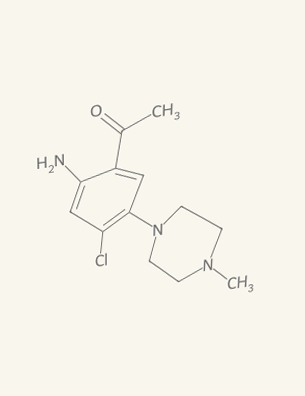 CC(=O)c1cc(N2CCN(C)CC2)c(Cl)cc1N